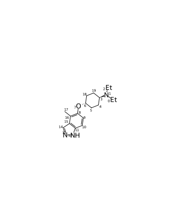 CCN(CC)[C@H]1CC[C@H](Oc2ccc3[nH]ncc3c2C)CC1